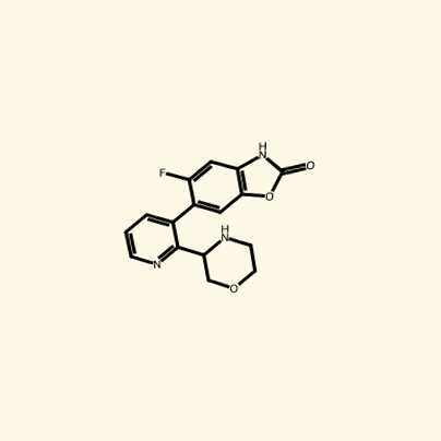 O=c1[nH]c2cc(F)c(-c3cccnc3C3COCCN3)cc2o1